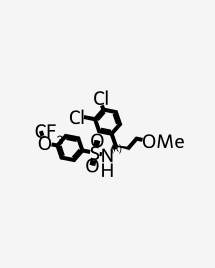 COCC[C@@H](NS(=O)(=O)c1ccc(OC(F)(F)F)cc1)c1ccc(Cl)c(Cl)c1